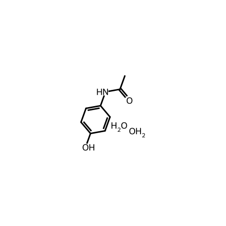 CC(=O)Nc1ccc(O)cc1.O.O